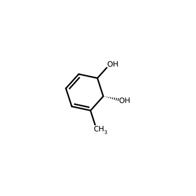 CC1=CC=CC(O)[C@@H]1O